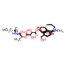 C[C@H](NC(=O)[C@H](C)OC(=O)[C@H](O)[C@@H](O)C(=O)OC1=CC[C@@]2(O)[C@H]3Cc4ccc(CO)c5c4[C@@]2(CCCN3C)[C@H]1O5)C(=O)O